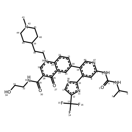 CC(C)NC(=O)Nc1cc(-c2nc(C(F)(F)F)cs2)c(-c2ccc3c(c2)c(=O)c(C(=O)NCCO)cn3CCC2CCN(C)CC2)cn1